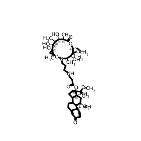 CC[C@H]1OC(=O)[C@H](C)[C@@H](O)[C@H](C)[C@@H](O)[C@]2(O)C[C@@]2(C)CN(CCCNCCC(=O)O[C@]2(C(=O)OC)CCC3C4CCC5=CC(=O)C=C[C@]5(C)C4[C@@H](O)C[C@@]32C)[C@H](C)[C@@H](O)[C@]1(C)O